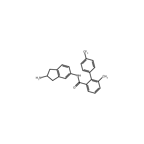 Cc1cccc(C(=O)Nc2ccc3c(c2)CC(N)C3)c1-c1ccc(C(F)(F)F)cc1